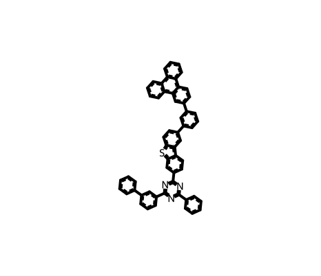 c1ccc(-c2cccc(-c3nc(-c4ccccc4)nc(-c4ccc5c(c4)sc4ccc(-c6cccc(-c7ccc8c9ccccc9c9ccccc9c8c7)c6)cc45)n3)c2)cc1